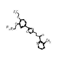 Cc1cccnc1C(=O)CCc1coc(-c2ccc(OCC(F)(F)F)c(OCC(F)(F)F)c2)n1